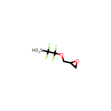 O=S(=O)(O)C(F)(F)C(F)(F)OCC1CO1